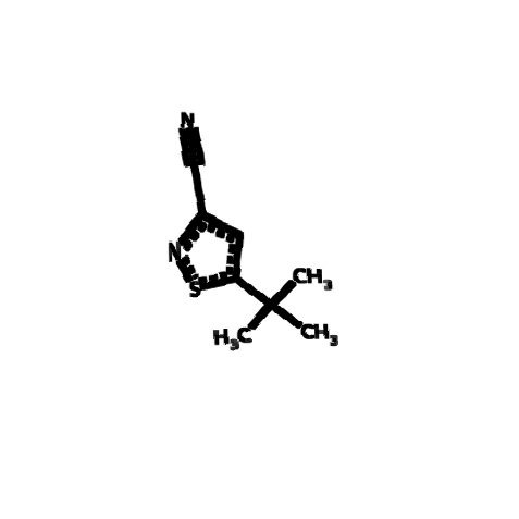 CC(C)(C)c1cc(C#N)ns1